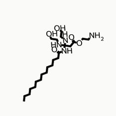 CCCCCCCCCCCCCC(=O)NC(CC(=O)OCCN)(NCCO)NCCO